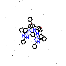 c1ccc(-c2ccc3c(c2)c2ccccc2n3-c2c(-n3c4ccccc4c4ccccc43)c(-c3nc(-c4ccccc4)nc(-c4ccccc4)n3)cc(-c3nc(-c4ccccc4)nc(-c4ccccc4)n3)c2-n2c3ccccc3c3ccccc32)cc1